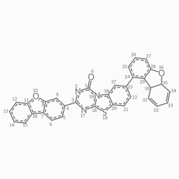 O=c1nc(-c2ccc3c(c2)oc2ccccc23)nc2sc3ccc(-c4cccc5c4C4C=CC=CC4O5)cc3n12